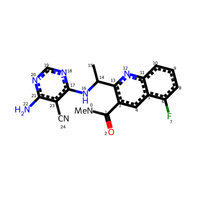 CNC(=O)c1cc2c(F)cccc2nc1C(C)Nc1ncnc(N)c1C#N